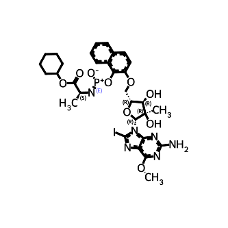 COc1nc(N)nc2c1nc(I)n2[C@@H]1O[C@H](COc2ccc3ccccc3c2O/[P+]([O-])=N/[C@@H](C)C(=O)OC2CCCCC2)[C@@H](O)[C@@]1(C)O